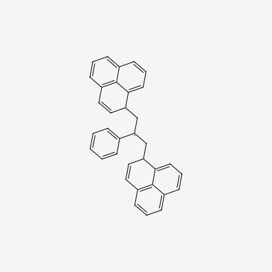 C1=CC(C[C](CC2C=Cc3cccc4cccc2c34)c2ccccc2)c2cccc3cccc1c23